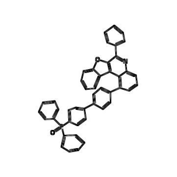 O=P(c1ccccc1)(c1ccccc1)c1ccc(-c2ccc(-c3cccc4nc(-c5ccccc5)c5oc6ccccc6c5c34)cc2)cc1